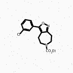 CCOC(=O)N1CCc2noc(-c3cccc(Cl)c3)c2CC1